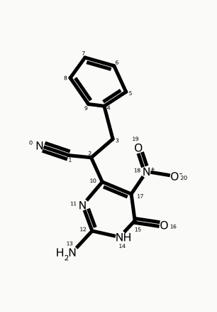 N#CC(Cc1ccccc1)c1nc(N)[nH]c(=O)c1[N+](=O)[O-]